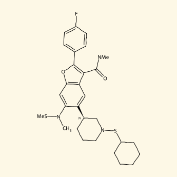 CNC(=O)c1c(-c2ccc(F)cc2)oc2cc(N(C)SC)c([C@@H]3CCCN(SC4CCCCC4)C3)cc12